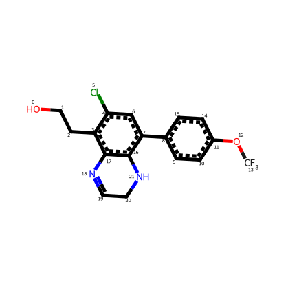 OCCc1c(Cl)cc(-c2ccc(OC(F)(F)F)cc2)c2c1N=CCN2